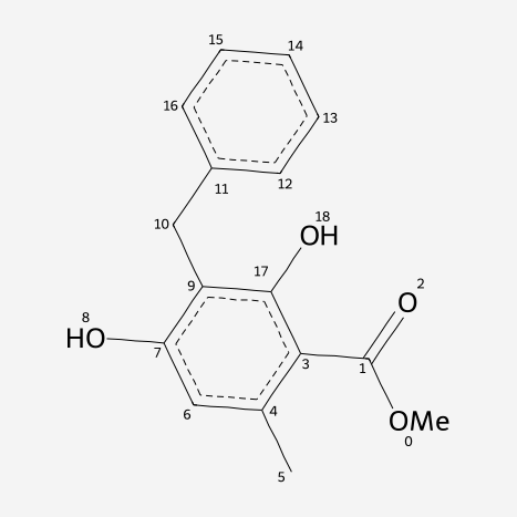 COC(=O)c1c(C)cc(O)c(Cc2ccccc2)c1O